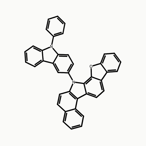 c1ccc(-n2c3ccccc3c3cc(-n4c5ccc6ccccc6c5c5ccc6c7ccccc7oc6c54)ccc32)cc1